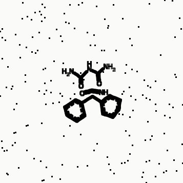 N=C=O.NC(=O)NC(N)=O.c1ccc(Cc2ccccc2)cc1